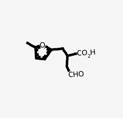 Cc1ccc(CC(CC=O)C(=O)O)o1